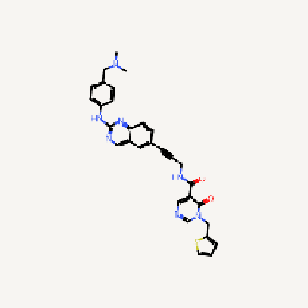 CN(C)Cc1ccc(Nc2ncc3cc(C#CCNC(=O)c4cncn(Cc5cccs5)c4=O)ccc3n2)cc1